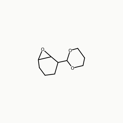 C1COC(C2CCCC3OC32)OC1